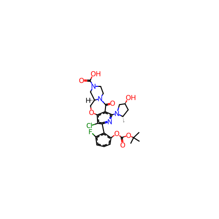 C[C@H]1C[C@H](O)CN1c1nc(-c2c(F)cccc2OC(=O)OC(C)(C)C)c(Cl)c2c1C(=O)N1CCN(C(=O)O)C[C@@H]1CO2